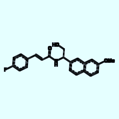 COc1ccc2ccc(C(CO)NC(=O)C=Cc3ccc(F)cc3)cc2c1